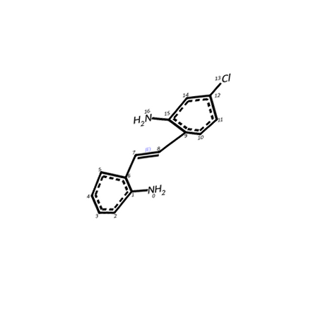 Nc1ccccc1/C=C/c1ccc(Cl)cc1N